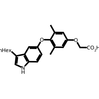 CCCCCCc1c[nH]c2ccc(Oc3c(C)cc(OCC(=O)O)cc3C)cc12